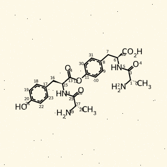 C[C@H](N)C(=O)N[C@@H](Cc1ccc(OC(=O)[C@H](Cc2ccc(O)cc2)NC(=O)[C@H](C)N)cc1)C(=O)O